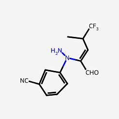 CC(/C=C(/C=O)N(N)c1cccc(C#N)c1)C(F)(F)F